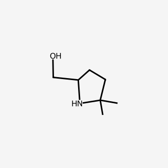 CC1(C)CCC(CO)N1